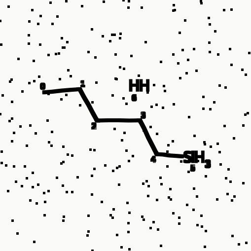 CCCCC[SiH3].[HH]